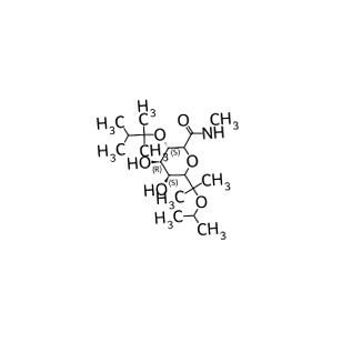 CNC(=O)C1OC(C(C)(C)OC(C)C)[C@@H](O)[C@@H](O)[C@@H]1OC(C)(C)C(C)C